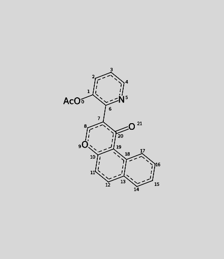 CC(=O)Oc1cccnc1-c1coc2ccc3ccccc3c2c1=O